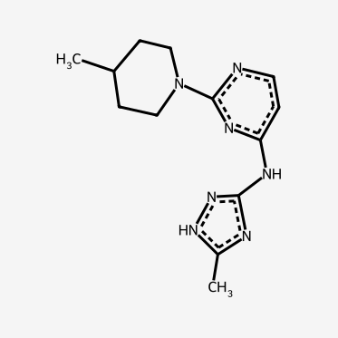 Cc1nc(Nc2ccnc(N3CCC(C)CC3)n2)n[nH]1